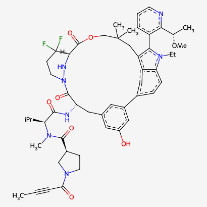 CC#CC(=O)N1CC[C@H](C(=O)N(C)[C@H](C(=O)N[C@H]2Cc3cc(O)cc(c3)-c3ccc4c(c3)c(c(-c3cccnc3[C@H](C)OC)n4CC)CC(C)(C)COC(=O)[C@H]3NN(CCC3(F)F)C2=O)C(C)C)C1